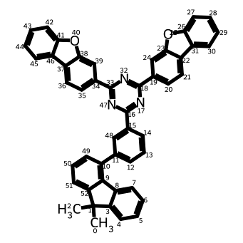 CC1(C)c2ccccc2-c2c(-c3cccc(-c4nc(-c5ccc6c(c5)oc5ccccc56)nc(-c5ccc6c(c5)oc5ccccc56)n4)c3)cccc21